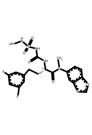 CCCNS(=O)(=O)NC(=O)N[C@@H](CCc1cc(F)cc(F)c1)C(=O)N(C)c1ccc2scnc2c1